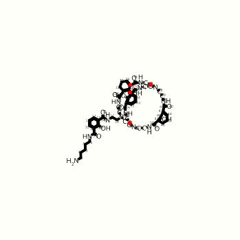 NCCCCCNC(=O)c1cccc(C(=O)NCCN2CCNC(=O)C3=C(O)C(=CCC3)C(=O)NCCN3CCNC(=O)C4=CCCC(=C4O)C(=O)NCCN(CCNC(=O)c4cccc(c4O)C(=O)NCC3)CC2)c1O